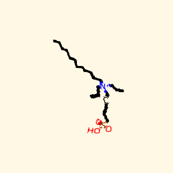 CCCCCCCCCCCC[N+](CCC)(CCC)CCCCCS(=O)(=O)O